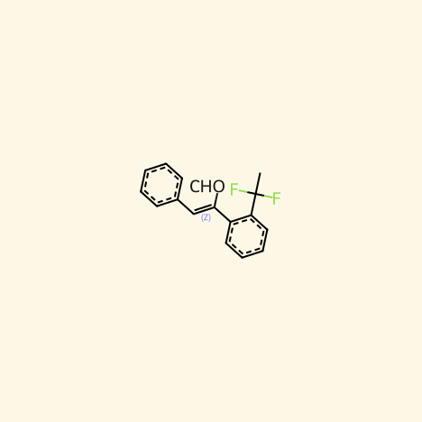 CC(F)(F)c1ccccc1/C(C=O)=C/c1ccccc1